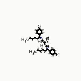 CCCCC/C(=N\NC(=NCl)N/N=C(\CCCCC)c1ccc(Cl)cc1)c1ccc(Cl)cc1